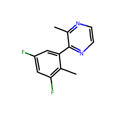 Cc1nccnc1-c1cc(F)cc(F)c1C